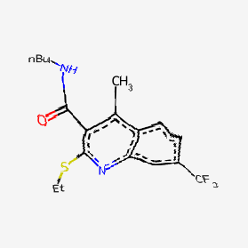 CCCCNC(=O)c1c(SCC)nc2cc(C(F)(F)F)ccc2c1C